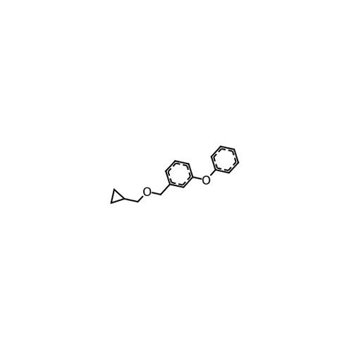 c1ccc(Oc2cccc(COCC3CC3)c2)cc1